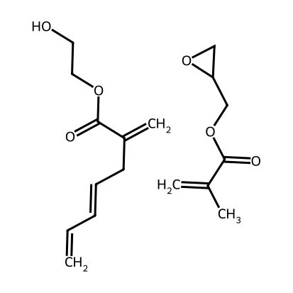 C=C(C)C(=O)OCC1CO1.C=CC=CCC(=C)C(=O)OCCO